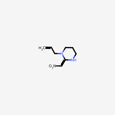 C=CCN1CCCN/C1=C/[N+](=O)[O-]